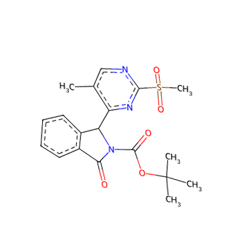 Cc1cnc(S(C)(=O)=O)nc1C1c2ccccc2C(=O)N1C(=O)OC(C)(C)C